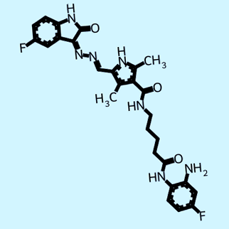 Cc1[nH]c(C=NN=C2C(=O)Nc3ccc(F)cc32)c(C)c1C(=O)NCCCCC(=O)Nc1ccc(F)cc1N